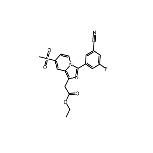 CCOC(=O)Cc1nc(-c2cc(F)cc(C#N)c2)n2ccc(S(C)(=O)=O)cc12